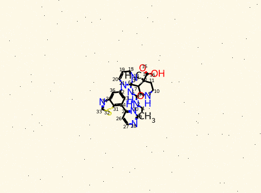 CCNC(=O)NC1(C2CNCCC2(C)C(=O)O)N=CC=CN1c1cc(-c2ccncn2)c2scnc2c1